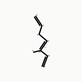 C=CC/C=C(\C)C=C